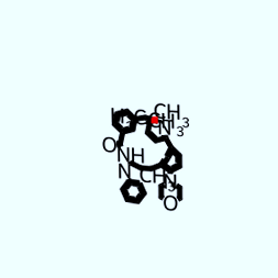 C=C(C)/C=C\C1=N/[C@H](C)Cc2cccc(c2)C(=O)N/C(=N/c2ccccc2C)CCc2cc1ccc2N1CCOCC1